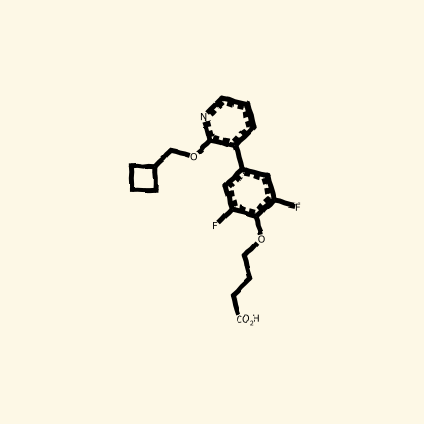 O=C(O)CCCOc1c(F)cc(-c2cccnc2OCC2CCC2)cc1F